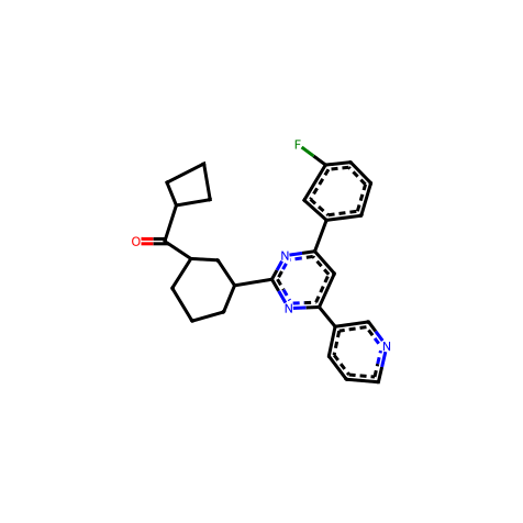 O=C(C1CCC1)C1CCCC(c2nc(-c3cccnc3)cc(-c3cccc(F)c3)n2)C1